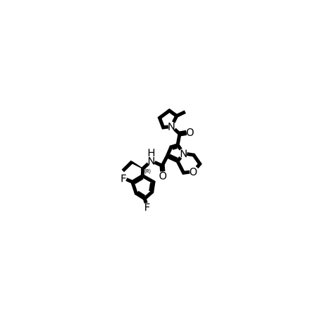 CC[C@@H](NC(=O)c1cc(C(=O)N2CCCC2C)n2c1COCC2)c1ccc(F)cc1F